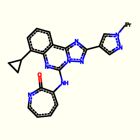 CC(C)n1cc(-c2nc3c4cccc(C5CC5)c4nc(Nc4ccccnc4=O)n3n2)cn1